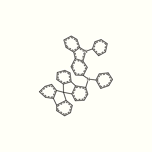 c1ccc(N(c2ccc3c4ccccc4n(-c4ccccc4)c3c2)c2cccc3c2-c2ccccc2C32c3ccccc3-c3ccccc32)cc1